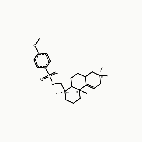 COc1ccc(S(=O)(=O)OC[C@]2(C)CCC[C@@]3(C)C4=CC[C@](C)(I)CC4CCC23)cc1